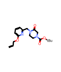 C=CCOc1cccc(CN2CCN(C(=O)OC(C)(C)C)CC2=O)n1